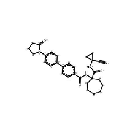 N#CC1(NC(=O)C2(NC(=O)c3ccc(-c4ccc(N5CCCC5=O)cc4)cc3)CCCCCC2)CC1